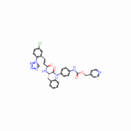 O=C(/C=C/c1cc(Cl)ccc1-n1cnnn1)N[C@@H](Cc1ccccc1)C(=O)Nc1ccc(NC(=O)OCc2ccncc2)cc1